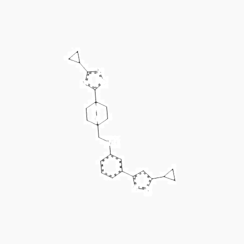 c1cc(NCC23CCC(c4nc(C5CC5)no4)(CC2)CC3)cc(-c2cc(C3CC3)no2)c1